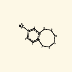 Cc1cc2c(cn1)CCCCCC2